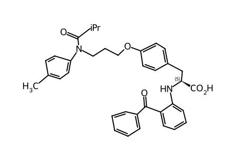 Cc1ccc(N(CCCOc2ccc(C[C@H](Nc3ccccc3C(=O)c3ccccc3)C(=O)O)cc2)C(=O)C(C)C)cc1